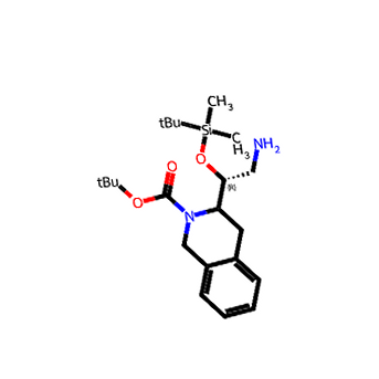 CC(C)(C)OC(=O)N1Cc2ccccc2CC1[C@@H](CN)O[Si](C)(C)C(C)(C)C